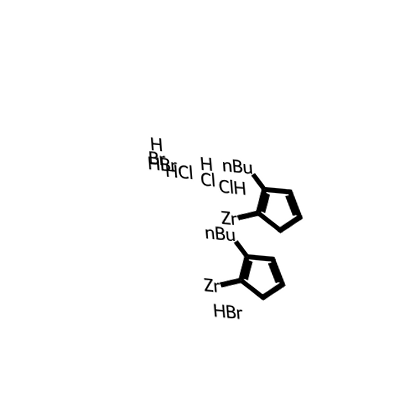 Br.Br.Br.CCCCC1=[C]([Zr])CC=C1.CCCCC1=[C]([Zr])CC=C1.Cl.Cl.Cl